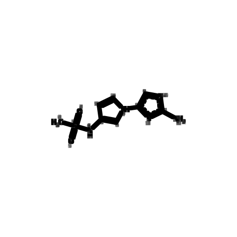 CS(=O)(=O)NC1=C[SH](c2cnc(N)s2)C=C1